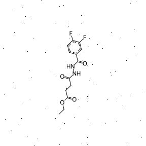 CCOC(=O)CCC(=O)NNC(=O)c1ccc(F)c(F)c1